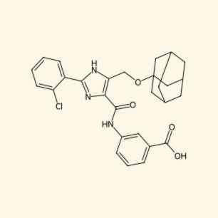 O=C(O)c1cccc(NC(=O)c2nc(-c3ccccc3Cl)[nH]c2COC23CC4CC(CC(C4)C2)C3)c1